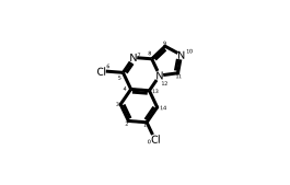 Clc1ccc2c(Cl)nc3cncn3c2c1